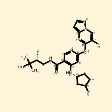 CC(C)(O)[C@H](F)CNC(=O)c1cnc(Nc2nc3ccnn3cc2F)cc1N[C@@H]1CCC(F)C1